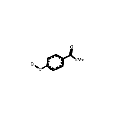 [CH2-][NH2+]C(=O)c1ccc(OCC)cc1